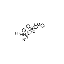 Cc1ccccc1N/C(=N\C#N)N1CCN(S(=O)(=O)c2ccc(Oc3ccccc3)nc2)C(c2ccccc2)C1